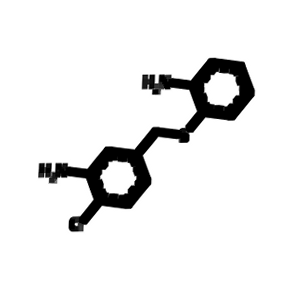 Nc1cc(CSc2ccccc2N)ccc1Cl